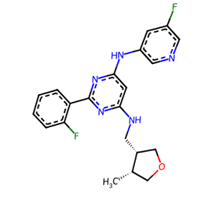 C[C@H]1COC[C@H]1CNc1cc(Nc2cncc(F)c2)nc(-c2ccccc2F)n1